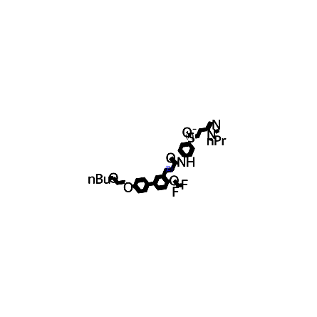 CCCCOCCOc1ccc(-c2ccc(OC(F)F)c(/C=C/C(=O)Nc3ccc([S@@+]([O-])CCc4cncn4CCC)cc3)c2)cc1